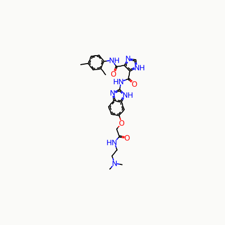 Cc1ccc(NC(=O)c2nc[nH]c2C(=O)Nc2nc3ccc(OCC(=O)NCCN(C)C)cc3[nH]2)c(C)c1